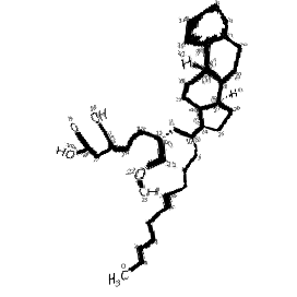 CCCCCCCCCC[C@@H](C[C@@H](CCC(O)CC(=O)O)COC)[C@@H]1CC[C@@H]2C3CCc4ccccc4[C@H]3CCC21